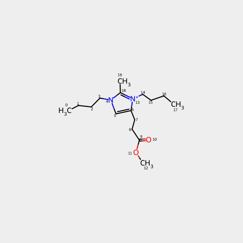 CCCCn1cc(CCC(=O)OC)[n+](CCCC)c1C